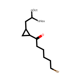 CCCCCCCCC(CCCCCC)CC1CC1C(=O)CCCCCBr